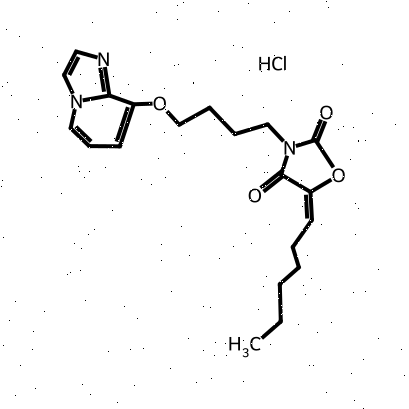 CCCCCC=C1OC(=O)N(CCCCOc2cccn3ccnc23)C1=O.Cl